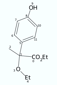 CCOC(=O)C(C)(OCC)c1ccc(O)cc1